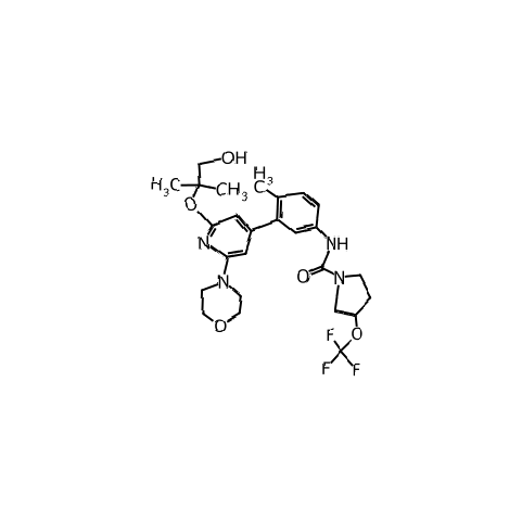 Cc1ccc(NC(=O)N2CCC(OC(F)(F)F)C2)cc1-c1cc(OC(C)(C)CO)nc(N2CCOCC2)c1